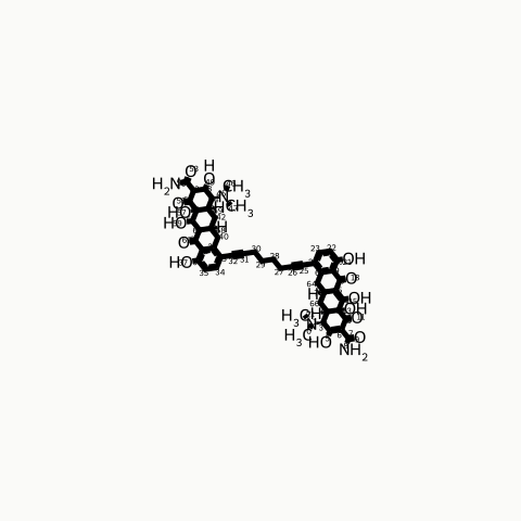 CN(C)[C@@H]1C(O)=C(C(N)=O)C(=O)[C@@]2(O)C(O)=C3C(=O)c4c(O)ccc(C#CCCCCC#Cc5ccc(O)c6c5C[C@H]5C[C@H]7[C@H](N(C)C)C(O)C(C(N)=O)C(=O)[C@@]7(O)C(O)C5C6=O)c4C[C@H]3C[C@@H]12